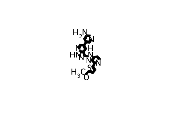 CC(=O)c1ccc(-c2nccc3[nH]c(-c4n[nH]c5ncc(-c6cncc(N)c6)cc45)nc23)s1